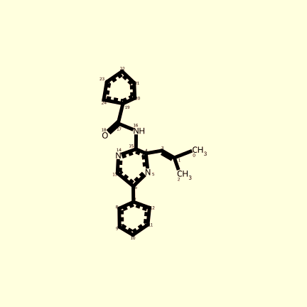 CC(C)=Cc1nc(-c2ccccc2)cnc1NC(=O)c1ccccc1